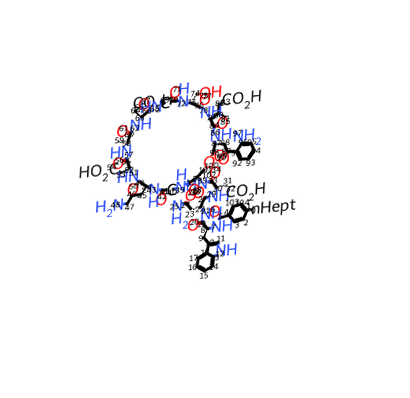 CCCCCCCc1ccc(C(=O)N[C@@H](Cc2c[nH]c3ccccc23)C(=O)N[C@H](CC(N)=O)C(=O)N[C@@H](CC(=O)O)C(=O)N[C@@H]2C(=O)NCC(=O)N[C@@H](CCCN)C(=O)N[C@@H](CC(=O)O)C(=O)N[C@H](C)C(=O)N[C@@H](CC(=O)O)C(=O)NCC(=O)N[C@H](CO)C(=O)N[C@@H]([C@H](C)CC(=O)O)C(=O)N[C@@H](CC(=O)c3ccccc3N)C(=O)O[C@@H]2C)cc1